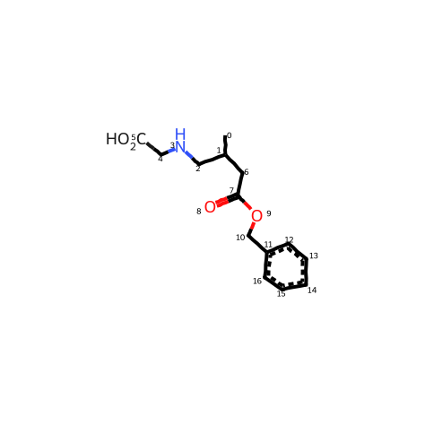 CC(CNCC(=O)O)CC(=O)OCc1ccccc1